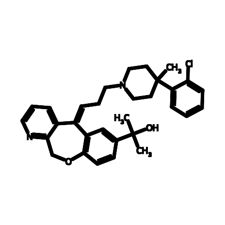 CC(C)(O)c1ccc2c(c1)C(=CCCN1CCC(C)(c3ccccc3Cl)CC1)c1cccnc1CO2